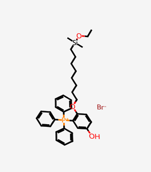 CCO[Si](C)(C)CCCCCCCCOc1ccc(O)cc1[P+](c1ccccc1)(c1ccccc1)c1ccccc1.[Br-]